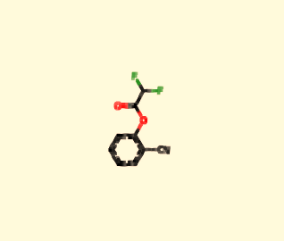 N#Cc1ccccc1OC(=O)C(F)F